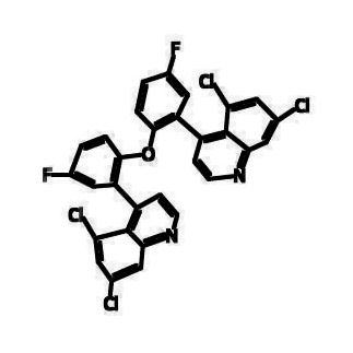 Fc1ccc(Oc2ccc(F)cc2-c2ccnc3cc(Cl)cc(Cl)c23)c(-c2ccnc3cc(Cl)cc(Cl)c23)c1